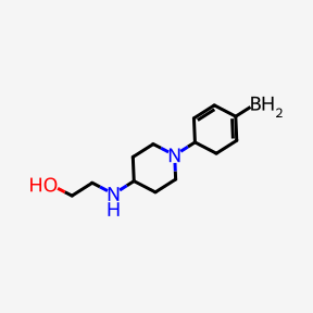 BC1=CCC(N2CCC(NCCO)CC2)C=C1